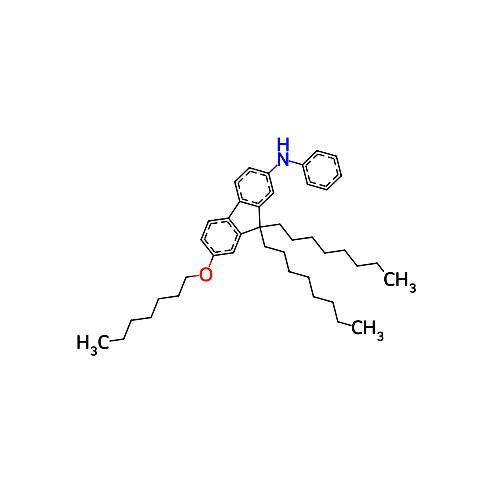 CCCCCCCCC1(CCCCCCCC)c2cc(Nc3ccccc3)ccc2-c2ccc(OCCCCCCC)cc21